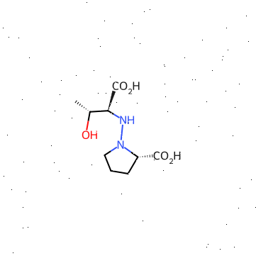 C[C@@H](O)[C@H](NN1CCC[C@H]1C(=O)O)C(=O)O